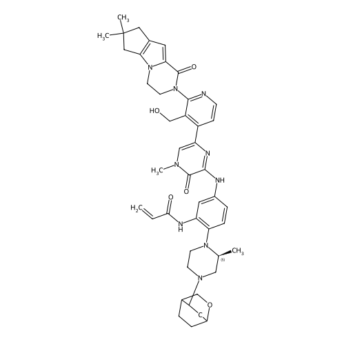 C=CC(=O)Nc1cc(Nc2nc(-c3ccnc(N4CCn5c(cc6c5CC(C)(C)C6)C4=O)c3CO)cn(C)c2=O)ccc1N1CCN(C2CC3CCC2CO3)C[C@@H]1C